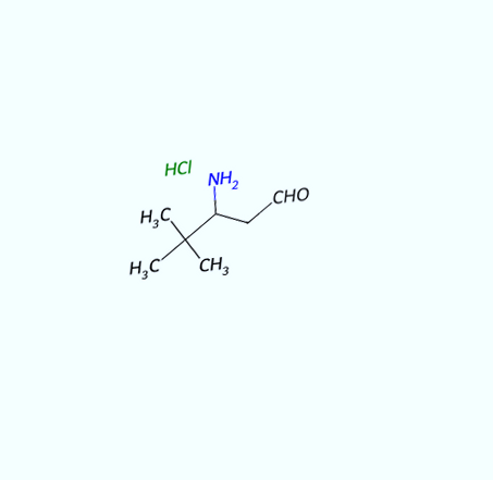 CC(C)(C)C(N)CC=O.Cl